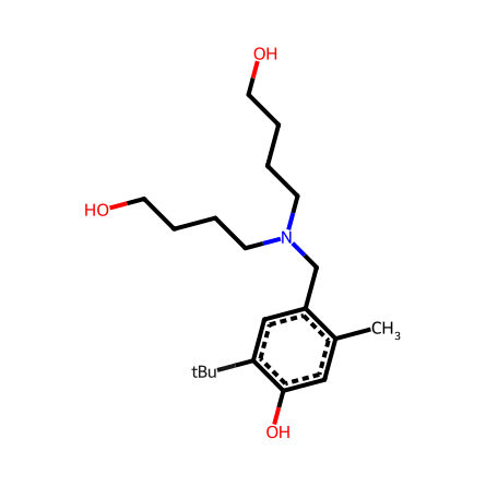 Cc1cc(O)c(C(C)(C)C)cc1CN(CCCCO)CCCCO